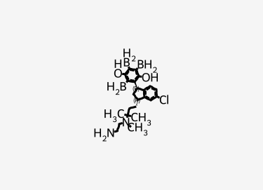 Bc1c(B)c(O)c([C@@H]2C[C@@H](CCC(C)(C)N(C)CCN)c3cc(Cl)ccc32)c(B)c1O